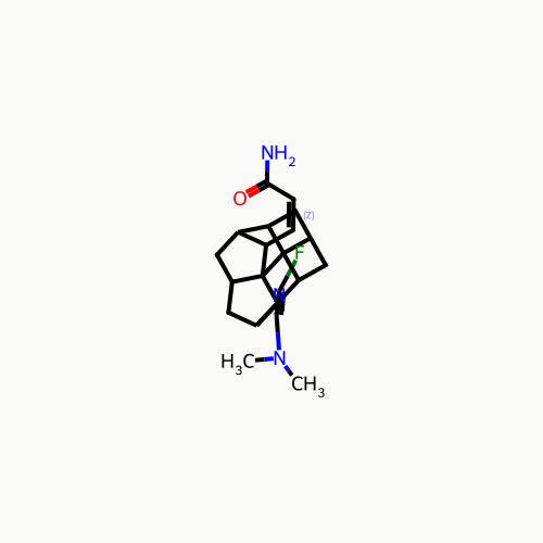 CN(C)C1=NC=C(F)C12C1CC3CC4C5CC6CC1C65C32C4/C=C\C(N)=O